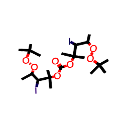 CC(OOC(C)(C)C)C(I)C(C)(C)OC(=O)OC(C)(C)C(I)C(C)OOC(C)(C)C